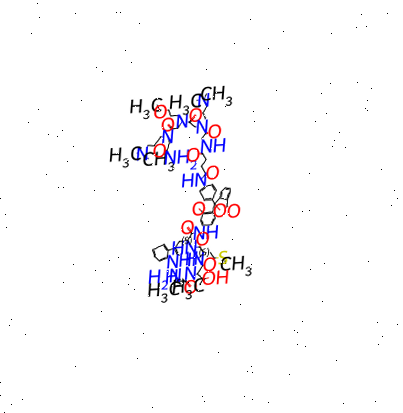 COCCCN(CC(=O)N(CCCN(C)C)CC(N)=O)C(=O)CN(CCCN(C)C)C(=O)CNC(=O)CCC(=O)Nc1ccc2c(c1)Oc1cc(NC(=O)[C@H](Cc3c[nH]c4ccccc34)NC(=O)[C@H](CCSC)NC(=O)C(NC(=O)[C@H](C)N)C(C)O)ccc1C21OC(=O)c2ccccc21